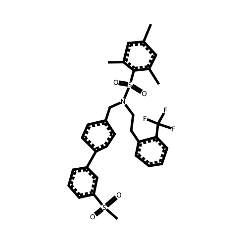 Cc1cc(C)c(S(=O)(=O)N(CCc2ccccc2C(F)(F)F)Cc2ccc(-c3cccc(S(C)(=O)=O)c3)cc2)c(C)c1